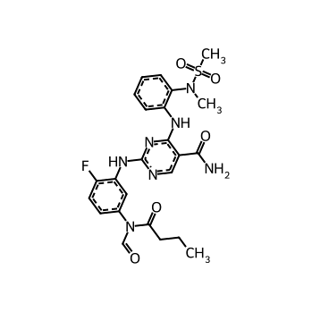 CCCC(=O)N(C=O)c1ccc(F)c(Nc2ncc(C(N)=O)c(Nc3ccccc3N(C)S(C)(=O)=O)n2)c1